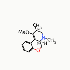 COC1=C2c3ccccc3OC[C@@H]2N(C)C[C@@H]1C